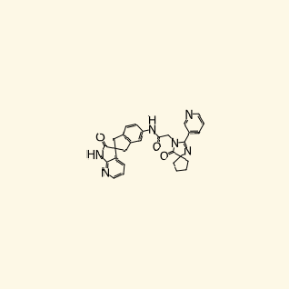 O=C(CN1C(=O)C2(CCCC2)N=C1c1cccnc1)Nc1ccc2c(c1)CC1(C2)C(=O)Nc2ncccc21